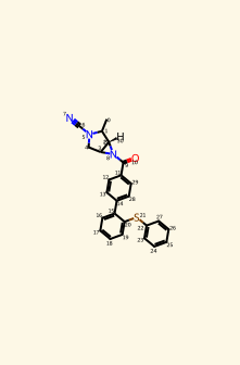 CC1[C@H]2C(CN1C#N)N2C(=O)c1ccc(-c2ccccc2Sc2ccccc2)cc1